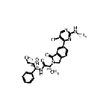 CC[C@H](O)[C@@H](NC(=O)[C@@H](C)N1Cc2ccc(-c3nc(NC)ncc3Cl)cc2C1=O)c1ccccc1